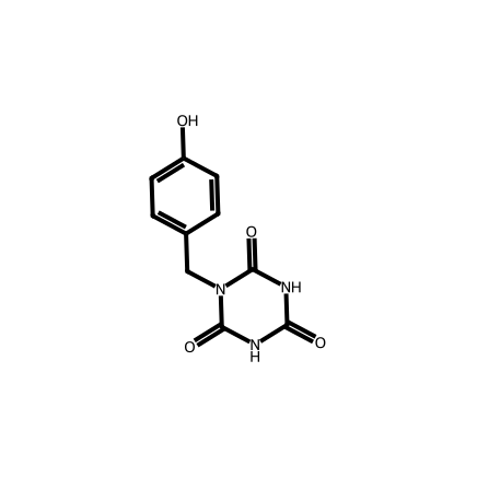 O=c1[nH]c(=O)n(Cc2ccc(O)cc2)c(=O)[nH]1